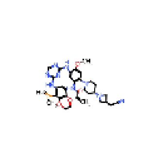 C=CC(=O)Nc1cc(Nc2ncnc(Nc3ccc4c(c3P(C)C)OCCO4)n2)c(OC)cc1N1CCC(N2CC(CC#N)C2)CC1